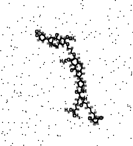 COc1ccc(C2=CN3C(=O)c4cc(OC)c(OCCCOc5cc6c(cc5OC)C(=O)N5C=C(c7ccc(NC(=O)[C@H](CCCCN(C)C)NC(=O)CCCCCN8C(=O)C=CC8=O)cc7)CC5C=N6)cc4N=C[C@@H]3C2)cc1